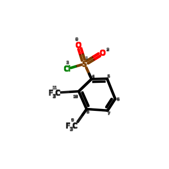 O=S(=O)(Cl)c1cccc(C(F)(F)F)c1C(F)(F)F